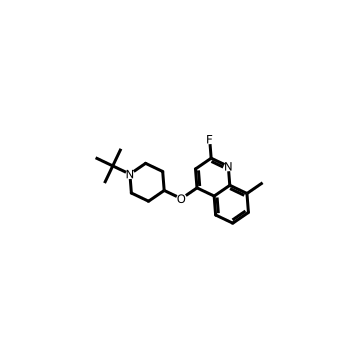 Cc1cccc2c(OC3CCN(C(C)(C)C)CC3)cc(F)nc12